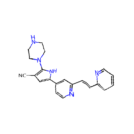 N#Cc1cc(-c2ccnc(C=Cc3ccccn3)c2)[nH]c1N1CCNCC1